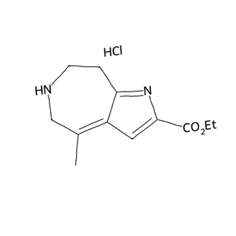 CCOC(=O)C1=CC2=C(C)CNCCC2=N1.Cl